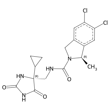 C[C@@H]1c2cc(Cl)c(Cl)cc2CN1C(=O)NC[C@@]1(C2CC2)NC(=O)NC1=O